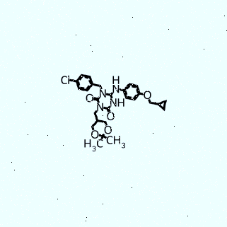 CC1(C)OCC(CN2C(=O)NC(Nc3ccc(OCC4CC4)cc3)N(Cc3ccc(Cl)cc3)C2=O)CO1